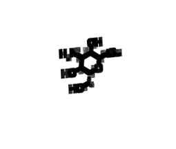 CC(C)(C)C1O[C@H](CO)[C@@H](O)C(N)[C@H]1O